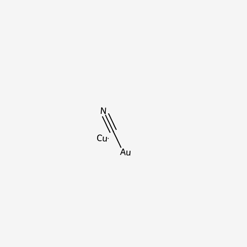 N#[C][Au].[Cu]